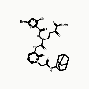 CNC(=O)C(=O)CC[C@H](NC(=O)c1sc(Br)cc1Br)C(=O)Nc1cccn(CC(=O)NC2C3CC4CC(C3)CC2C4)c1=O